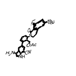 CC(=O)OCc1c(-c2cc(C#N)c3[nH]cc(N)c3c2)cccc1N1CCc2cc(C(C)(C)C)cc(F)c2C1=O